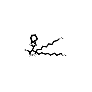 CCCCCCCCCCCCCCCCCCC(CCCCCCCCCCCCCCCCCC)(C(=O)O)C(C(=O)S)c1nc2ccccc2o1